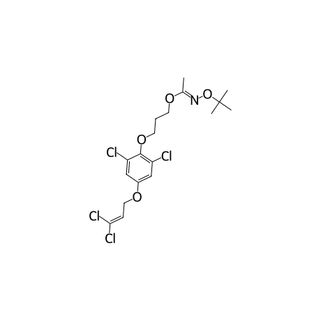 CC(=NOC(C)(C)C)OCCCOc1c(Cl)cc(OCC=C(Cl)Cl)cc1Cl